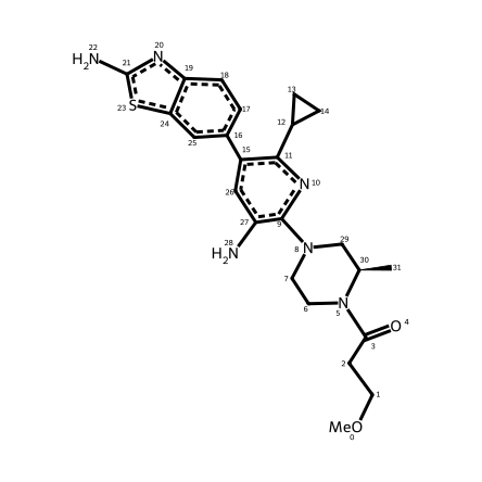 COCCC(=O)N1CCN(c2nc(C3CC3)c(-c3ccc4nc(N)sc4c3)cc2N)C[C@H]1C